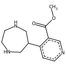 COC(=O)c1cnccc1C1CNCCNC1